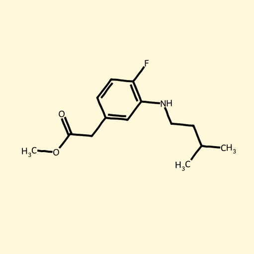 COC(=O)Cc1ccc(F)c(NCCC(C)C)c1